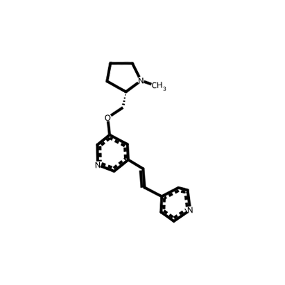 CN1CCC[C@H]1COc1cncc(/C=C/c2ccncc2)c1